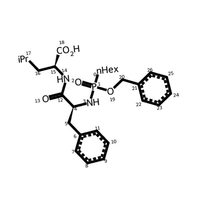 CCCCCCP(=O)(N[C@@H](Cc1ccccc1)C(=O)N[C@@H](CC(C)C)C(=O)O)OCc1ccccc1